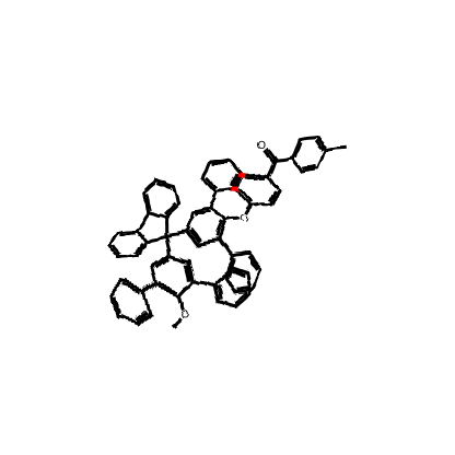 COc1c(-c2ccccc2)cc(C2(c3cc(-c4ccccc4)c(Oc4ccc(C(=O)c5ccc(C)cc5)cc4)c(-c4ccccc4)c3)c3ccccc3-c3ccccc32)cc1-c1ccccc1